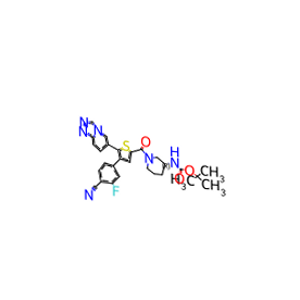 CC(C)(C)OC(=O)N[C@@H]1CCCN(C(=O)c2cc(-c3ccc(C#N)c(F)c3)c(-c3ccc4nncn4c3)s2)C1